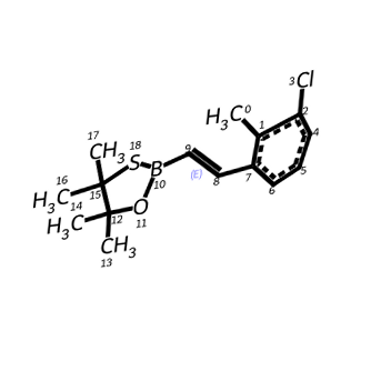 Cc1c(Cl)cccc1/C=C/B1OC(C)(C)C(C)(C)S1